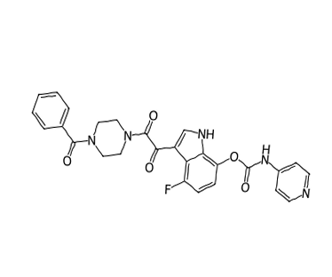 O=C(Nc1ccncc1)Oc1ccc(F)c2c(C(=O)C(=O)N3CCN(C(=O)c4ccccc4)CC3)c[nH]c12